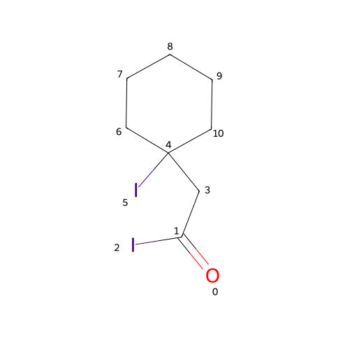 O=C(I)CC1(I)CCCCC1